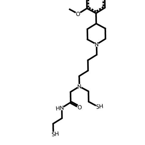 COc1ccccc1C1CCN(CCCCN(CCS)CC(=O)NCCS)CC1